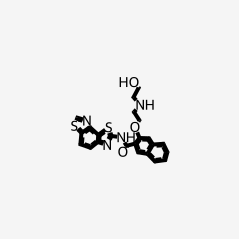 O=C(Nc1nc2ccc3scnc3c2s1)c1cc2ccccc2cc1OCCNCCO